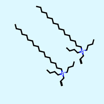 C=CC[N+](CCCC)(CCCC)CCCCCCCCCCCCCCCC.C=CC[N+](CCCC)(CCCC)CCCCCCCCCCCCCCCCC